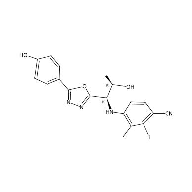 Cc1c(N[C@@H](c2nnc(-c3ccc(O)cc3)o2)[C@@H](C)O)ccc(C#N)c1I